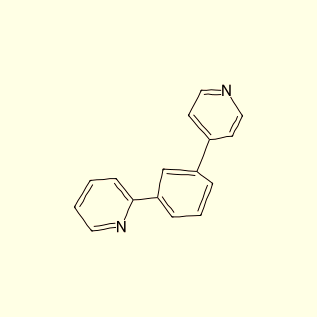 c1ccc(-c2cccc(-c3ccncc3)c2)nc1